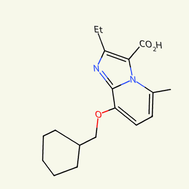 CCc1nc2c(OCC3CCCCC3)ccc(C)n2c1C(=O)O